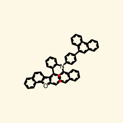 c1ccc(N(c2ccc(-c3cc4ccccc4c4ccccc34)cc2)c2cccc3ccccc23)c(-c2cccc3oc4c5ccccc5ccc4c23)c1